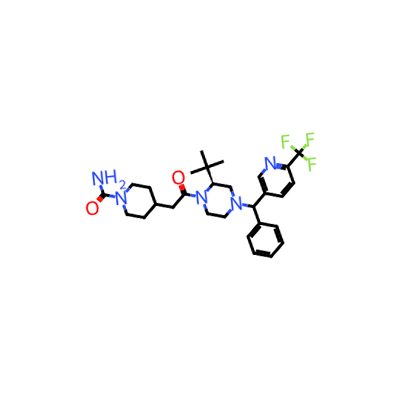 CC(C)(C)[C@H]1CN(C(c2ccccc2)c2ccc(C(F)(F)F)nc2)CCN1C(=O)CC1CCN(C(N)=O)CC1